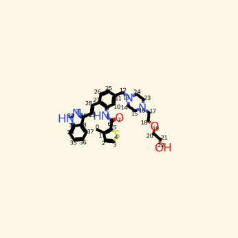 Cc1ccsc1C(=O)Nc1cc(CN2CCN(CCOCCO)CC2)ccc1C=Cc1n[nH]c2ccccc12